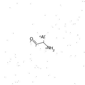 NCC=O.[Al]